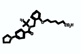 [2H]C(C)(C)N(Cc1ccccc1OCCCCCC(=O)O)C(=O)c1ccc(N2CCCC2)cc1